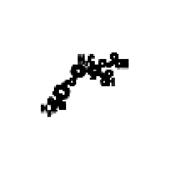 Cc1c(-c2cccc(OCC3CCN(S(C)(=O)=O)CC3)c2)sc(C(=O)O)c1OCC(=O)O